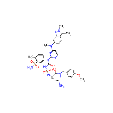 COc1ccc(CNC(=O)[C@H](CCN)NS(=O)(=O)NC(=O)N(c2ccc(C)c(S(N)(=O)=O)c2)c2nccc(N(C)c3ccc4c(C)n(C)nc4c3)n2)cc1